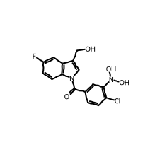 O=C(c1ccc(Cl)c(N(O)O)c1)n1cc(CO)c2cc(F)ccc21